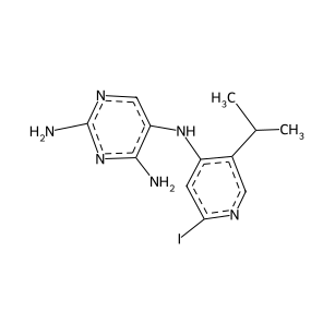 CC(C)c1cnc(I)cc1Nc1cnc(N)nc1N